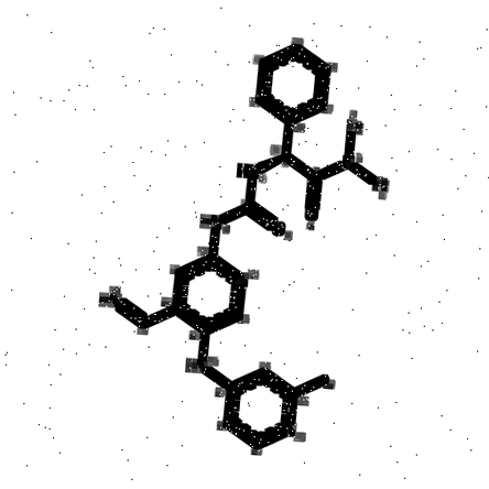 CCN(CC)C(=O)[C@@H](NC(=O)Nc1cc(C=N)c(Nc2ccnc(C)c2)cn1)c1ccccc1